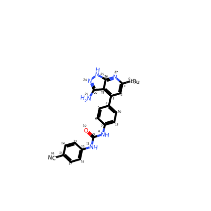 CC(C)(C)c1cc(-c2ccc(NC(=O)Nc3ccc(C#N)cc3)cc2)c2c(N)n[nH]c2n1